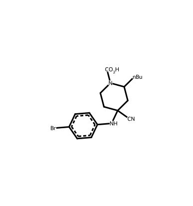 CCCCC1CC(C#N)(Nc2ccc(Br)cc2)CCN1C(=O)O